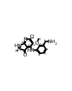 COc1c(CN)cccc1Nc1cc(Cl)nc2[nH]n(C)c(=O)c12